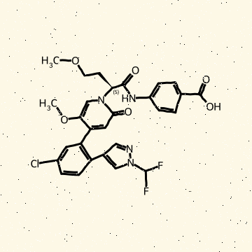 COCC[C@@H](C(=O)Nc1ccc(C(=O)O)cc1)n1cc(OC)c(-c2cc(Cl)ccc2-c2cnn(C(F)F)c2)cc1=O